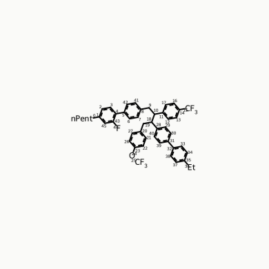 CCCCCc1ccc(-c2ccc(CC(c3ccc(C(F)(F)F)cc3)C(Cc3ccc(OC(F)(F)F)cc3)c3ccc(-c4ccc(CC)cc4)cc3)cc2)c(F)c1